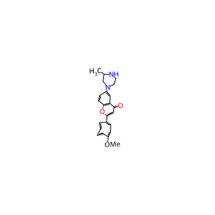 COC1=C/C=C(c2cc(=O)c3cc(N4CCN[C@H](C)C4)ccc3o2)\C=C\C=C\1